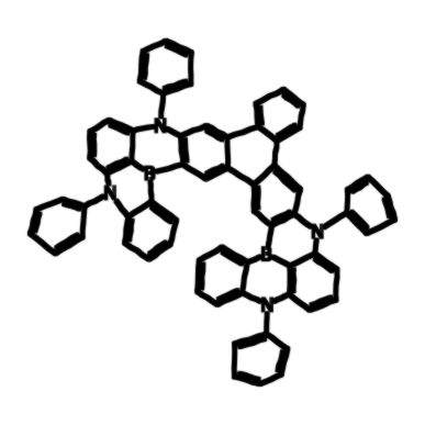 c1ccc(N2c3ccccc3B3c4cc5c6cc7c(cc6c6ccccc6c5cc4N(c4ccccc4)c4cccc2c43)N(c2ccccc2)c2cccc3c2B7c2ccccc2N3c2ccccc2)cc1